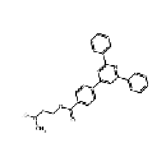 CN(C)CCOC(=O)c1ccc(-c2cc(-c3ccccc3)nc(-c3ccccc3)c2)cc1